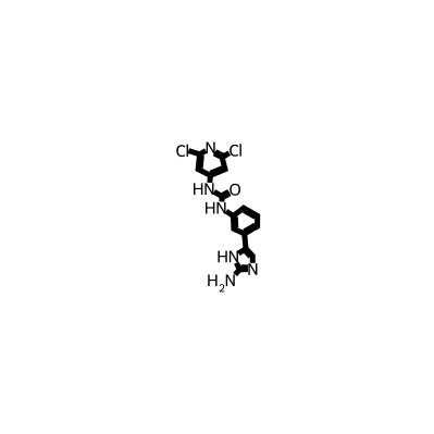 Nc1ncc(-c2cccc(NC(=O)Nc3cc(Cl)nc(Cl)c3)c2)[nH]1